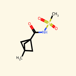 CC12CC(C(=O)NS(C)(=O)=O)(C1)C2